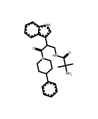 CC(C)(N)C(=O)NCC(C(=O)N1CCC(c2ccccc2)CC1)c1c[nH]c2ccccc12